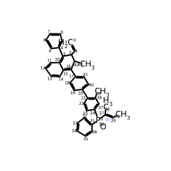 C=CC1C(c2ccccc2)=c2ccccc2=C(c2ccc(-c3ccc(P(=O)(/C(C)=C/C)c4ccccc4)cc3C)cc2)C1C